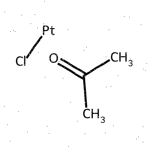 CC(C)=O.[Cl][Pt]